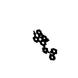 N#Cc1cc(-c2cccc(-n3c4ccccc4c4ccccc43)c2)cc(-c2cccc(C#N)c2-n2c3c(c4ccccc42)CCC=C3)c1